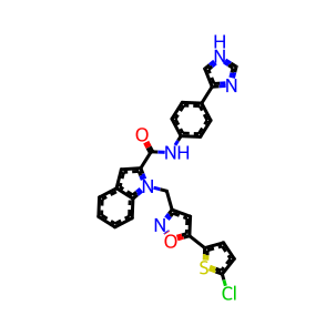 O=C(Nc1ccc(-c2c[nH]cn2)cc1)c1cc2ccccc2n1Cc1cc(-c2ccc(Cl)s2)on1